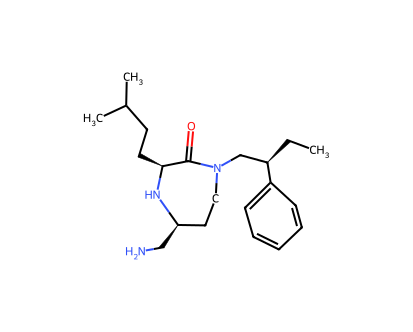 CC[C@H](CN1CC[C@@H](CN)N[C@@H](CCC(C)C)C1=O)c1ccccc1